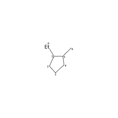 CC[C]1CCCC1C